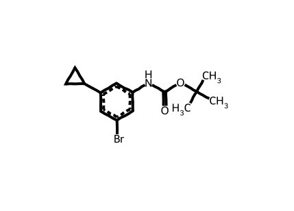 CC(C)(C)OC(=O)Nc1cc(Br)cc(C2CC2)c1